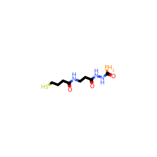 O=C(P)NNC(=O)CCNC(=O)CCCS